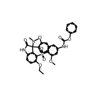 CCOc1ccc2c(c1S(=O)(=O)c1ccc(NC(=O)Oc3ccccc3)cc1OC)C(c1ccccc1Cl)(N(C)C)C(=O)N2